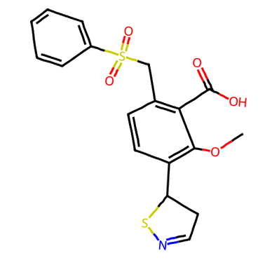 COc1c(C2CC=NS2)ccc(CS(=O)(=O)c2ccccc2)c1C(=O)O